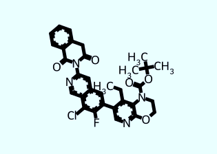 CCc1c(-c2cc3cc(N4C(=O)Cc5ccccc5C4=O)ncc3c(Cl)c2F)cnc2c1N(C(=O)OC(C)(C)C)CCO2